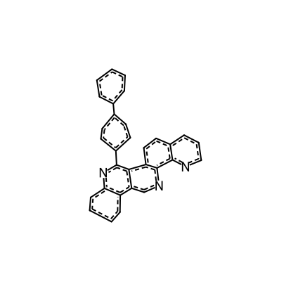 c1ccc(-c2ccc(-c3nc4ccccc4c4cnc5c(ccc6cccnc65)c34)cc2)cc1